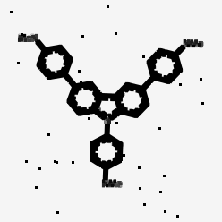 CNc1ccc(-c2ccc3c(c2)c2cc(-c4ccc(NC)cc4)ccc2n3-c2ccc(NC)cc2)cc1